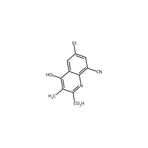 CCc1cc(C#N)c2nc(C(=O)O)c(C)c(O)c2c1